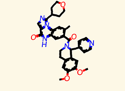 COc1cc2c(cc1OC)C(c1ccncc1)N(C(=O)c1cc3[nH]c(=O)c4cnc(C5CCOCC5)n4c3cc1C)CC2